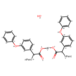 CCCCCC(C(=O)[O][Al+][O]C(=O)C(CCCCC)c1cccc(Oc2ccccc2)c1)c1cccc(Oc2ccccc2)c1.[OH-]